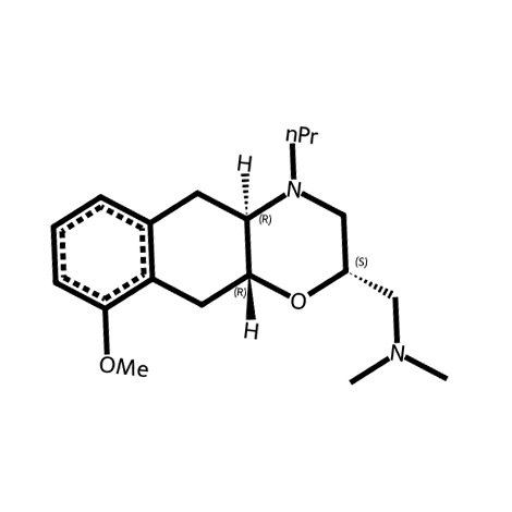 CCCN1C[C@H](CN(C)C)O[C@@H]2Cc3c(cccc3OC)C[C@H]21